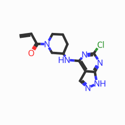 C=CC(=O)N1CCCC(Nc2nc(Cl)nc3[nH]ncc23)C1